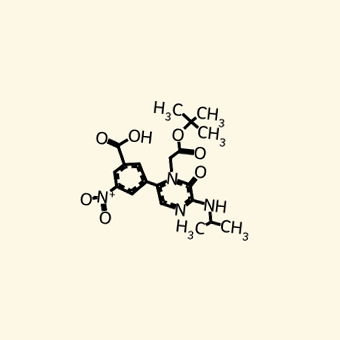 CC(C)Nc1ncc(-c2cc(C(=O)O)cc([N+](=O)[O-])c2)n(CC(=O)OC(C)(C)C)c1=O